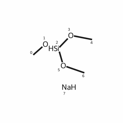 CO[SiH](OC)OC.[NaH]